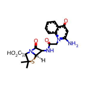 CC1(C)S[C@@H]2C(NC(=O)Cn3c(N)cc(=O)c4ccccc43)C(=O)N2[C@H]1C(=O)O